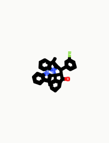 Cc1c(C23c4ccccc4C(=O)C2C(c2cccc(F)c2)c2c(C)c4ccccc4n23)[nH]c2ccccc12